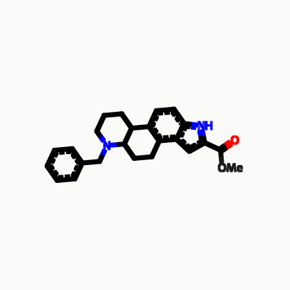 COC(=O)c1cc2c3c(ccc2[nH]1)C1CCCN(Cc2ccccc2)C1CC3